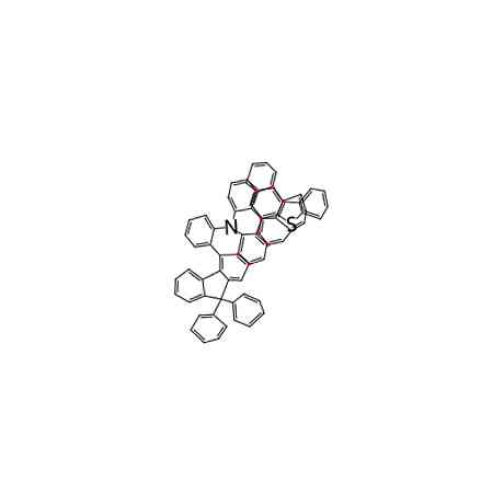 c1ccc(-c2cccc3cccc(-c4ccccc4N(c4ccccc4-c4cccc5c4-c4ccccc4C5(c4ccccc4)c4ccccc4)c4ccccc4-c4cccc5c4sc4ccccc45)c23)cc1